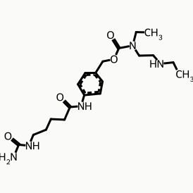 CCNCCN(CC)C(=O)OCc1ccc(NC(=O)CCCCNC(N)=O)cc1